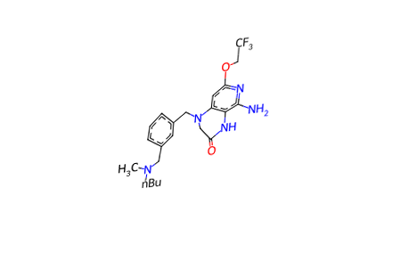 CCCCN(C)Cc1cccc(CN2CC(=O)Nc3c2cc(OCC(F)(F)F)nc3N)c1